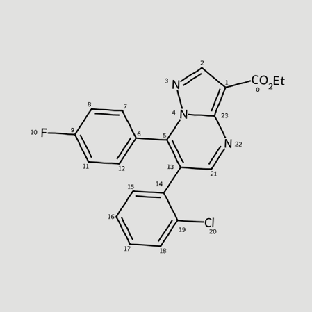 CCOC(=O)c1cnn2c(-c3ccc(F)cc3)c(-c3ccccc3Cl)cnc12